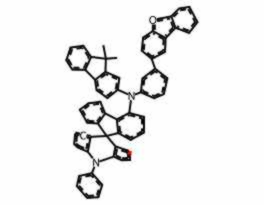 CC1(C)c2ccccc2-c2ccc(N(c3cccc(-c4ccc5oc6ccccc6c5c4)c3)c3cccc4c3-c3ccccc3C43c4ccccc4N(c4ccccc4)c4ccccc43)cc21